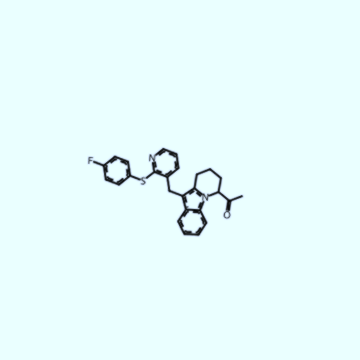 CC(=O)C1CCCc2c(Cc3cccnc3Sc3ccc(F)cc3)c3ccccc3n21